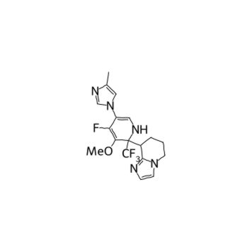 COC1=C(F)C(n2cnc(C)c2)=CNC1(C1CCCn2ccnc21)C(F)(F)F